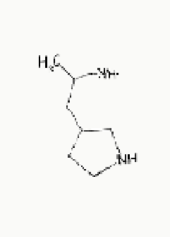 CC([NH])CC1CCNC1